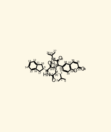 CC(C)C[C@@H]1C(=O)N[C@H](C2Cc3ccccc3C2)C(=O)N1[C@@H](C(=O)NC(C)C)c1ccc2oc(=O)ccc2c1